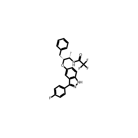 C[C@H](NC(=O)C(F)(F)F)[C@@H](Cc1ccccc1)Oc1ccc2[nH]nc(-c3ccc(F)cc3)c2c1